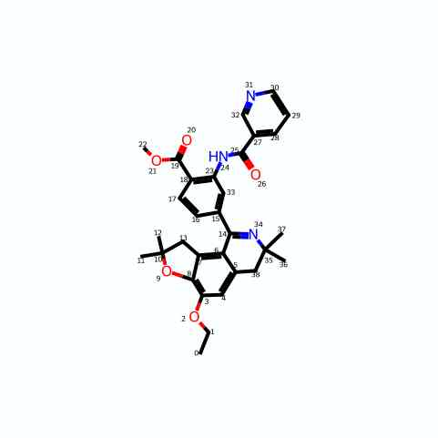 CCOc1cc2c(c3c1OC(C)(C)C3)C(c1ccc(C(=O)OC)c(NC(=O)c3cccnc3)c1)=NC(C)(C)C2